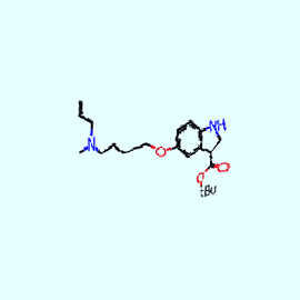 C=CCN(C)CCCCOc1ccc2c(c1)C(C(=O)OC(C)(C)C)CN2